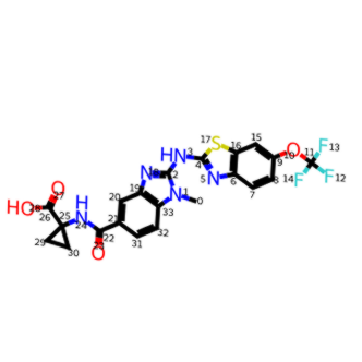 Cn1c(Nc2nc3ccc(OC(F)(F)F)cc3s2)nc2cc(C(=O)NC3(C(=O)O)CC3)ccc21